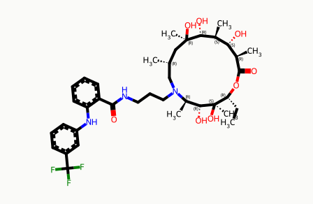 CC[C@H]1OC(=O)[C@H](C)[C@@H](O)[C@H](C)[C@@H](O)[C@](C)(O)C[C@@H](C)CN(CCCNC(=O)c2ccccc2Nc2cccc(C(F)(F)F)c2)[C@H](C)[C@@H](O)[C@]1(C)O